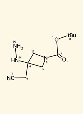 CC(C)(C)OC(=O)N1CC(CC#N)(NN)C1